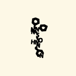 O=C(CSc1nnc(-c2ccccc2)n1-c1ccccc1)N/N=C/c1ccncc1